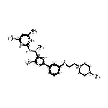 Cc1sc(-c2ccnc(OCCN3CCN(C)CC3)c2)nc1[C@@H](C)Sc1nc(N)cc(N)n1